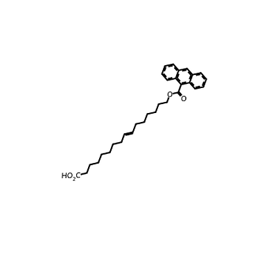 O=C(O)CCCCCCC/C=C/CCCCCCOC(=O)c1c2ccccc2cc2ccccc12